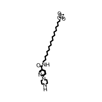 CS(=O)(=O)OCCCCCCCCCCCCCCCCCCNC(=O)c1ccc(N2CCNCC2)nc1